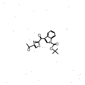 CC(=O)c1csc(C(=O)c2cn(C(=O)OC(C)(C)C)c3ccccc23)n1